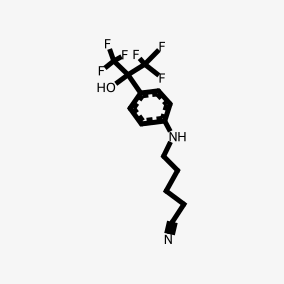 N#CCCCCNc1ccc(C(O)(C(F)(F)F)C(F)(F)F)cc1